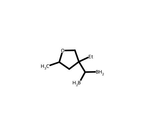 BC(B)C1(CC)COC(C)C1